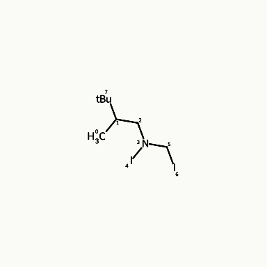 CC(CN(I)CI)C(C)(C)C